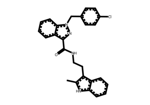 Cc1[nH]c2ccccc2c1CCNC(=O)c1nn(Cc2ccc(Cl)cc2)c2ccccc12